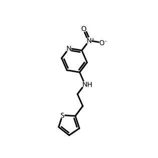 O=[N+]([O-])c1cc(NCCc2cccs2)ccn1